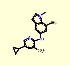 Bc1cc(Nc2ncc(C3CC3)cc2C(=O)O)cc2ccn(C)c12